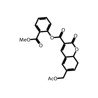 COC(=O)c1ccccc1OC(=O)C1=CC2=CC(COC(C)=O)=CCC2OC1=O